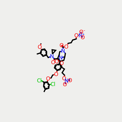 COc1ccc(CN(C(=O)C2=C(c3ccc(OCCOc4c(Cl)cc(C)cc4Cl)cc3)CC3CN(C(=O)OCCCCO[N+](=O)[O-])CC2N3C(=O)OCCCCO[N+](=O)[O-])C2CC2)cc1C